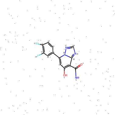 [NH]C(=O)c1c(O)cc(-c2ccc(F)c(F)c2)n2ncnc12